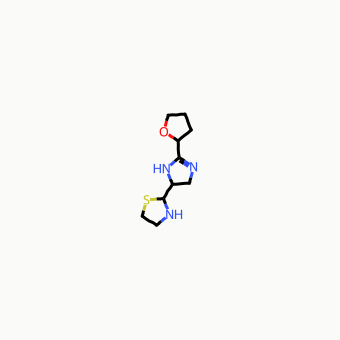 C1COC(C2=NCC(C3NCCS3)N2)C1